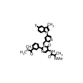 CNC(C)C(=O)Nc1cnc(-c2cccc(C(=O)N(C)C)c2)n(Cc2cncc(-n3cc(C)c4cc(F)ccc43)c2)c1=O